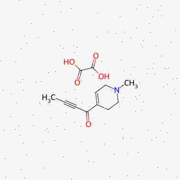 CC#CC(=O)C1=CCN(C)CC1.O=C(O)C(=O)O